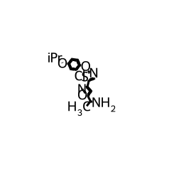 CC(C)Oc1ccc(Oc2ncc(-c3cc(C(C)N)on3)s2)c(Cl)c1